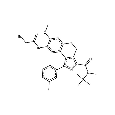 COc1cc2c(cc1NC(=O)CBr)-c1c(c(C(=O)N(C)C(C)(C)C)nn1-c1cccc(C)c1)CC2